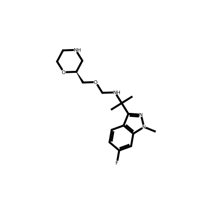 Cn1nc(C(C)(C)NCOC[C@@H]2CNCCO2)c2ccc(F)cc21